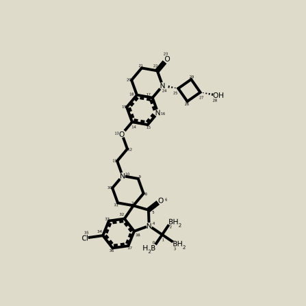 BC(B)(B)N1C(=O)C2(CCN(CCOc3cnc4c(c3)CCC(=O)N4[C@H]3C[C@@H](O)C3)CC2)c2cc(Cl)ccc21